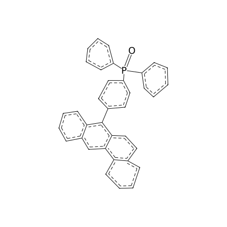 O=P(c1ccccc1)(c1ccccc1)c1ccc(-c2c3ccccc3cc3c2ccc2ccccc23)cc1